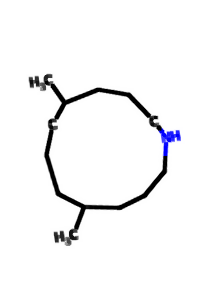 CC1CCCNCCCC(C)CCC1